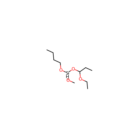 CCCCO[SiH](OC)OC(CC)OCC